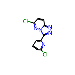 Clc1cccc(-c2nnc3ccc(Cl)nn23)n1